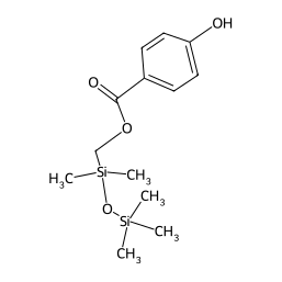 C[Si](C)(C)O[Si](C)(C)COC(=O)c1ccc(O)cc1